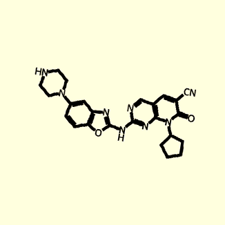 N#Cc1cc2cnc(Nc3nc4cc(N5CCNCC5)ccc4o3)nc2n(C2CCCC2)c1=O